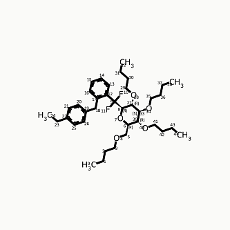 CCCCOC[C@H]1O[C@@H](C(F)(F)c2ccccc2Cc2ccc(CC)cc2)[C@H](OCCCC)[C@@H](OCCCC)[C@@H]1OCCCC